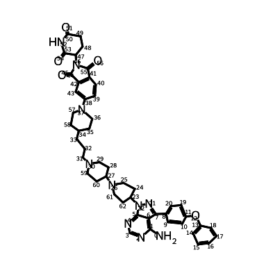 Nc1ncnc2c1c(-c1ccc(Oc3ccccc3)cc1)nn2C1CCN(C2CCN(CCCC3CCN(c4ccc5c(c4)C(=O)N(C4CCC(=O)NC4=O)C5=O)CC3)CC2)CC1